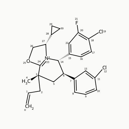 C=CC[C@@]1(C)C[C@H](c2cccc(Cl)c2)[C@@H](c2ccc(Cl)c(F)c2)[N+]2=C1OC[C@@H]2C1CC1